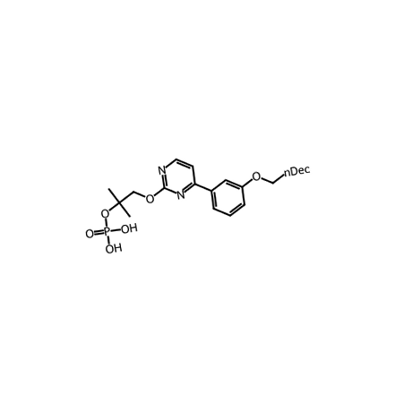 CCCCCCCCCCCOc1cccc(-c2ccnc(OCC(C)(C)OP(=O)(O)O)n2)c1